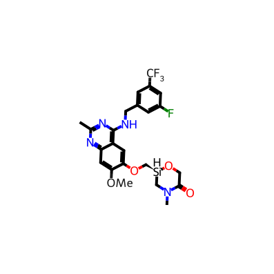 COc1cc2nc(C)nc(NCc3cc(F)cc(C(F)(F)F)c3)c2cc1OC[Si@@H]1CN(C)C(=O)CO1